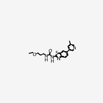 CCOCCCNC(=O)Nc1nc2ccc(-c3cncc(C)c3)cc2s1